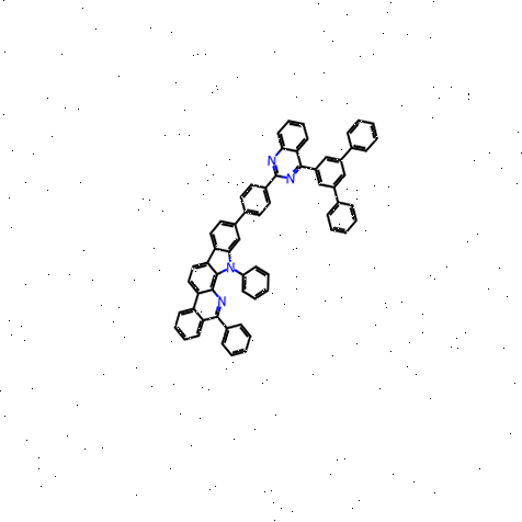 c1ccc(-c2cc(-c3ccccc3)cc(-c3nc(-c4ccc(-c5ccc6c7ccc8c9ccccc9c(-c9ccccc9)nc8c7n(-c7ccccc7)c6c5)cc4)nc4ccccc34)c2)cc1